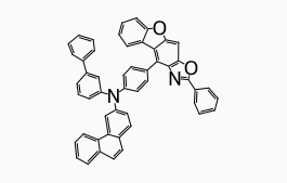 c1ccc(-c2cccc(N(c3ccc(-c4c5nc(-c6ccccc6)oc5cc5oc6ccccc6c45)cc3)c3ccc4ccc5ccccc5c4c3)c2)cc1